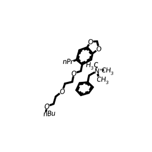 CCCCOCCOCCOCc1cc2c(cc1CCC)OCO2.C[N+](C)(C)Cc1ccccc1